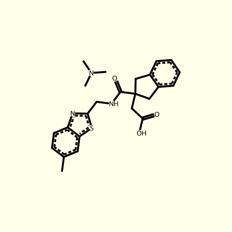 CN(C)C.Cc1ccc2nc(CNC(=O)C3(CC(=O)O)Cc4ccccc4C3)sc2c1